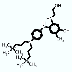 Cc1cc(Nc2ccc(N(CCC[N+](C)(C)C)CCC[N+](C)(C)C)cc2)c(NCCO)cc1O